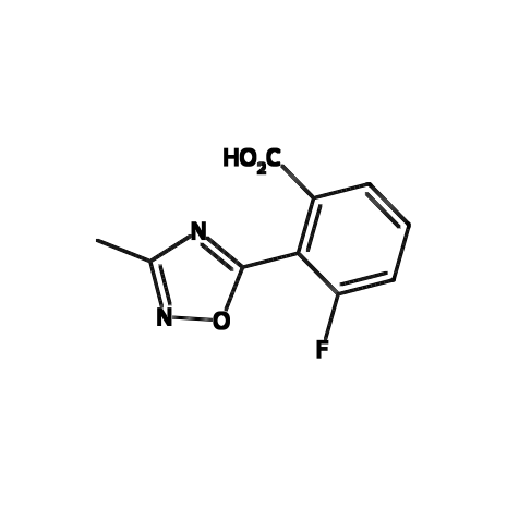 Cc1noc(-c2c(F)cccc2C(=O)O)n1